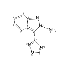 Nn1nc2ccccc2c1-c1ncon1